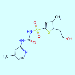 Cc1cc(S(=O)(=O)NC(=O)Nc2cc(C(F)(F)F)ccn2)sc1CCO